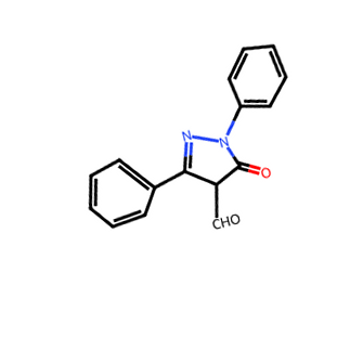 O=CC1C(=O)N(c2ccccc2)N=C1c1ccccc1